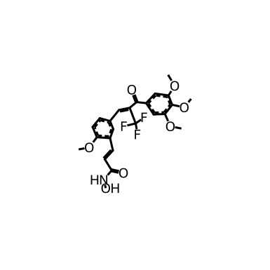 COc1ccc(C=C(C(=O)c2cc(OC)c(OC)c(OC)c2)C(F)(F)F)cc1C=CC(=O)NO